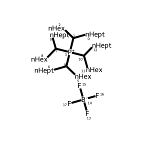 CCCCCCCC(CCCCCC)[P+](C(CCCCCC)CCCCCCC)(C(CCCCCC)CCCCCCC)C(CCCCCC)CCCCCCC.F[B-](F)(F)F